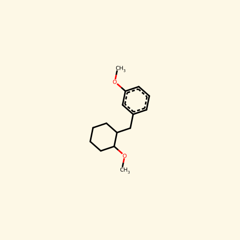 COc1cccc(CC2CCCCC2OC)c1